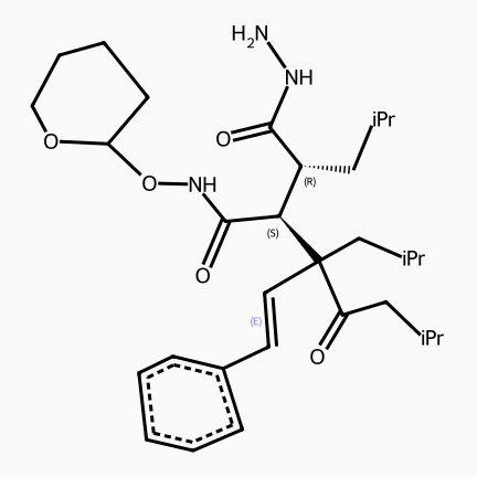 CC(C)CC(=O)C(/C=C/c1ccccc1)(CC(C)C)[C@@H](C(=O)NOC1CCCCO1)[C@@H](CC(C)C)C(=O)NN